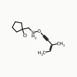 CC=C(C)C#CO[SiH2]CC1(Cl)CCCC1